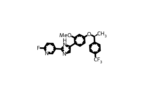 COc1cc(O[C@@H](C)c2ccc(C(F)(F)F)cc2)ccc1-c1cnc(-c2ccc(F)nc2)[nH]1